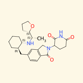 C[C@H](N[C@H]1CCCC[C@@H]1Cc1ccc2c(c1)CN(C1CCC(=O)NC1=O)C2=O)[C@@H]1CCCO1